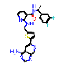 C[C@H](NC(=O)c1cccnc1NCc1ccc(-c2cc3c(N)ncnc3cn2)s1)c1ccc(F)c(F)c1